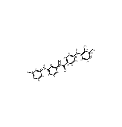 Cc1cc(Nc2cccc(NC(=O)c3ccc(Nc4ccnc(C)c4C)cc3)c2)ccn1